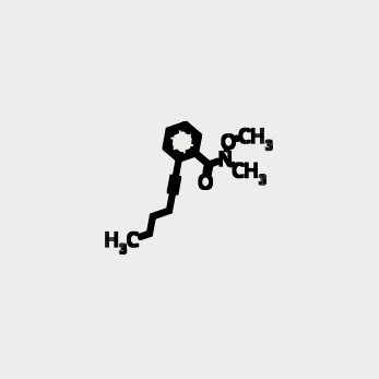 CCCCC#Cc1ccccc1C(=O)N(C)OC